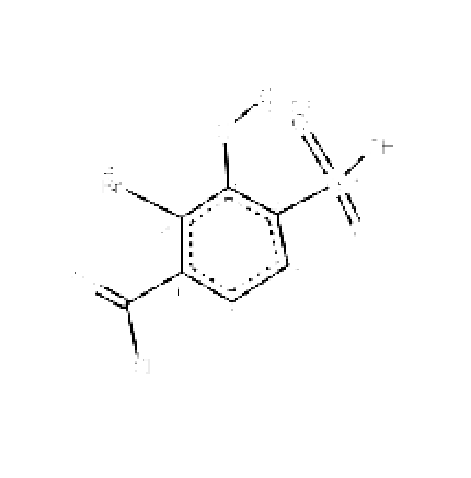 COc1c(S(C)(=O)=O)ccc(C(=O)Cl)c1Br